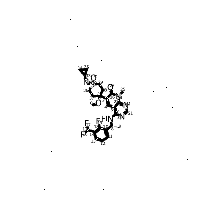 COC1(c2cc3c(N[C@H](C)c4cccc(C(F)F)c4F)ncnc3n(C)c2=O)CCS(=O)(=NC2CC2)CC1